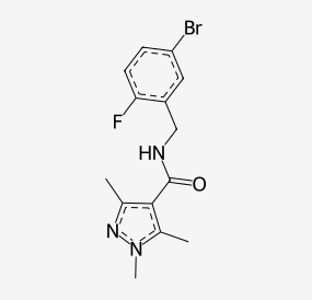 Cc1nn(C)c(C)c1C(=O)NCc1cc(Br)ccc1F